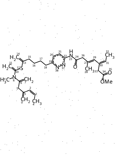 C=C(/C=C\C)CC(=C)N(C)C(=C)SC(=C)CCCCc1ccc(NC(=O)C/C(C)=C/C(=C\C)CC(=O)OC)nn1